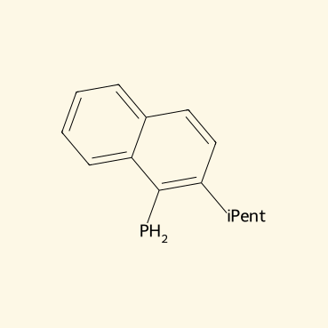 CCCC(C)c1ccc2ccccc2c1P